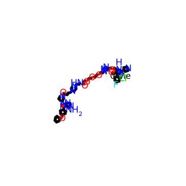 COC(=O)C1=C(COCc2cn(CCOCCOCCOCC(=O)NCCN3CCN(C/C=C/C(=O)N4CCC[C@@H](n5nc(-c6ccc(Oc7ccccc7)cc6)c6c(N)ncnc65)C4)CC3)nn2)NC(c2ccncc2)=NC1c1ccc(F)cc1Cl